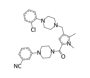 Cc1c(CN2CCN(c3ccccc3Cl)CC2)cc(C(=O)N2CCN(c3cccc(C#N)c3)CC2)n1C